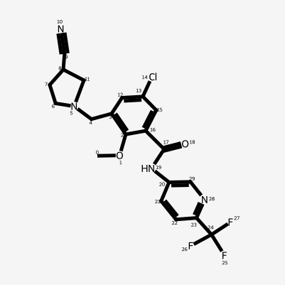 COc1c(CN2CCC(C#N)C2)cc(Cl)cc1C(=O)Nc1ccc(C(F)(F)F)nc1